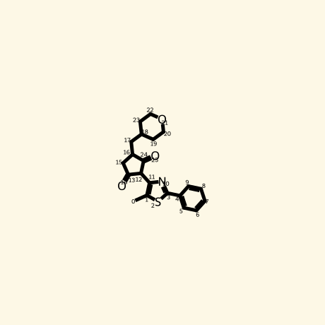 Cc1sc(-c2ccccc2)nc1C1C(=O)CC(CC2CCOCC2)C1=O